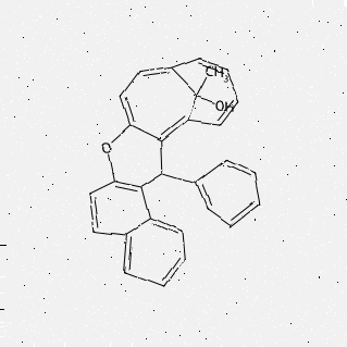 CC1(O)C2=CC=C3Oc4ccc5ccccc5c4C(c4ccccc4)C3=C1C=CC=C2